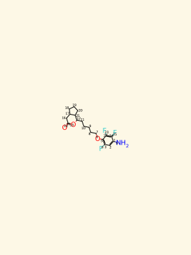 Nc1cc(F)c(OCCCCCC2OC(=O)CC3CCCC32)c(F)c1F